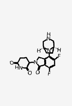 O=C1CCC(N2Cc3c(c(F)cc(F)c3N3[C@@H]4CC[C@H]3CNC4)C2=O)C(=O)N1